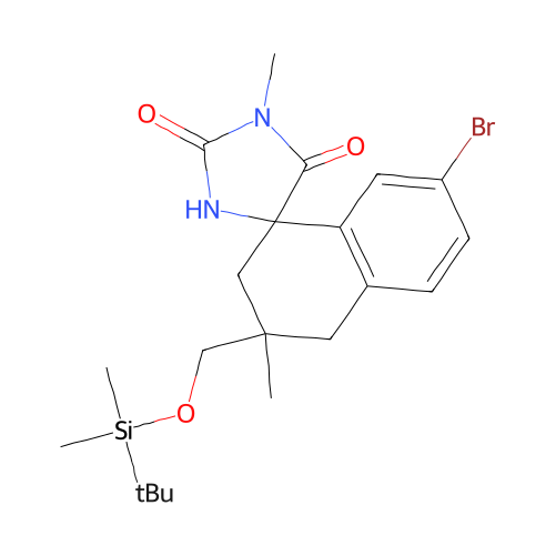 CN1C(=O)NC2(CC(C)(CO[Si](C)(C)C(C)(C)C)Cc3ccc(Br)cc32)C1=O